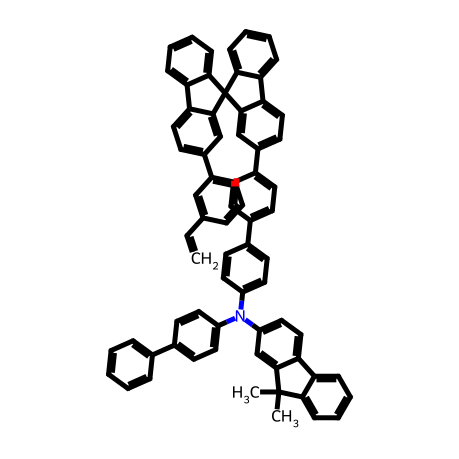 C=Cc1cccc(-c2ccc3c(c2)C2(c4ccccc4-c4ccc(-c5ccc(-c6ccc(N(c7ccc(-c8ccccc8)cc7)c7ccc8c(c7)C(C)(C)c7ccccc7-8)cc6)cc5)cc42)c2ccccc2-3)c1